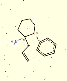 C=CC[C@@]1(N)CCCC[C@@H]1c1ccccc1